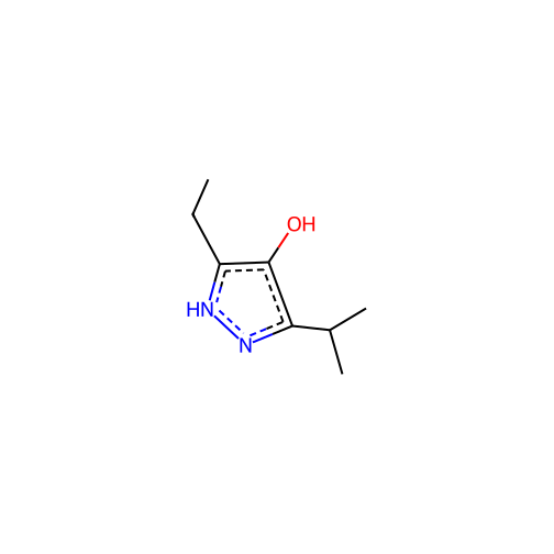 CCc1[nH]nc(C(C)C)c1O